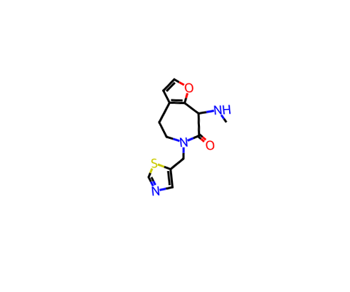 CNC1C(=O)N(Cc2cncs2)CCc2ccoc21